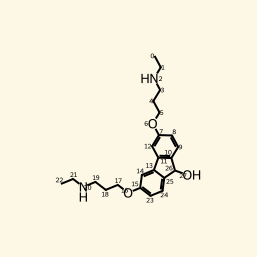 CCNCCCOc1ccc2c(c1)-c1cc(OCCCNCC)ccc1C2O